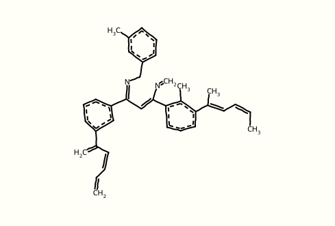 C=C/C=C\C(=C)c1cccc(C(/C=C(\N=C)c2cccc(/C(C)=C/C=C\C)c2C)=N/Cc2cccc(C)c2)c1